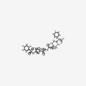 CN(C)C(c1ccccc1)C1CCC(NC(=O)CNC(=O)c2nc(CS(=O)(=O)c3ccccc3)no2)CC1